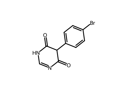 O=C1N=CNC(=O)C1c1ccc(Br)cc1